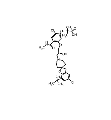 CNC(=O)c1cc(Cl)c(OC(C)(C)C(=O)O)cc1OC[C@@H](O)CN1CCC2(CC1)Cc1cc(Cl)cc(C(C)(C)C)c1O2